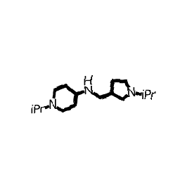 CC(C)N1CCC(NCC2CCN(C(C)C)C2)CC1